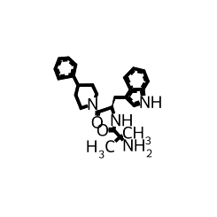 CC(C)(N)C(=O)N[C@H](Cc1c[nH]c2ccccc12)C(=O)N1CCC(c2ccccc2)CC1